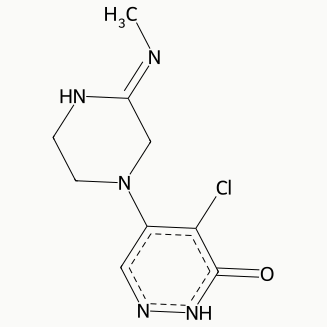 C/N=C1/CN(c2cn[nH]c(=O)c2Cl)CCN1